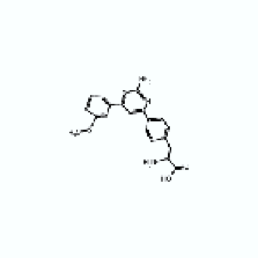 CSc1cccc(-c2cc(-c3ccc(CC(N)C(=O)O)cc3)nc(N)n2)c1